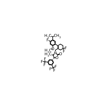 COc1cc(F)c(C(C)C)cc1C1=C(CN2C(=O)O[C@H](c3cc(C(F)(F)F)cc(C(F)(F)F)c3)[C@@H]2C)CC(F)(F)CC1